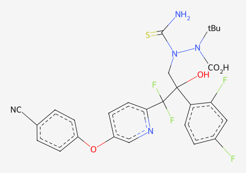 CC(C)(C)N(C(=O)O)N(CC(O)(c1ccc(F)cc1F)C(F)(F)c1ccc(Oc2ccc(C#N)cc2)cn1)C(N)=S